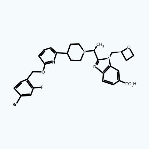 C[C@@H](c1nc2ccc(C(=O)O)cc2n1C[C@@H]1CCO1)N1CCC(c2cccc(OCc3ccc(Br)cc3F)n2)CC1